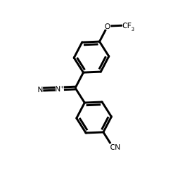 N#Cc1ccc(C(=[N+]=[N-])c2ccc(OC(F)(F)F)cc2)cc1